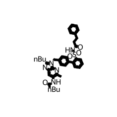 CCCCC(=O)Nc1cc2nc(CCCC)n(Cc3ccc(-c4ccccc4S(=O)(=O)NC(=O)CCc4ccccc4)cc3)c2nc1C